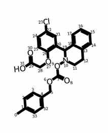 Cc1ccc(COC(=O)ON2CCc3ccccc3C2c2cc(Cl)ccc2OCC(=O)O)cc1